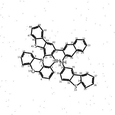 B1c2cccc3c2N(c2ccccc2O3)c2c1c(-c1cc3ccccc3cc1Nc1ccc3sc4ccccc4c3c1)cc1c2sc2ccccc21